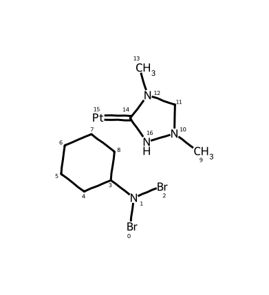 BrN(Br)C1CCCCC1.CN1CN(C)[C](=[Pt])N1